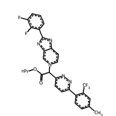 CCCOC(=O)C(c1ccc(-c2ccc(C)cc2C(F)(F)F)nn1)n1ccc2nc(-c3cccc(F)c3F)nc-2c1